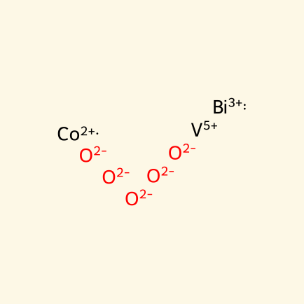 [Bi+3].[Co+2].[O-2].[O-2].[O-2].[O-2].[O-2].[V+5]